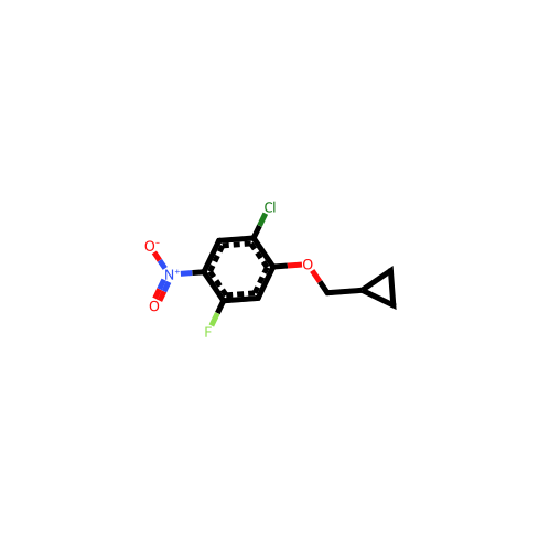 O=[N+]([O-])c1cc(Cl)c(OCC2CC2)cc1F